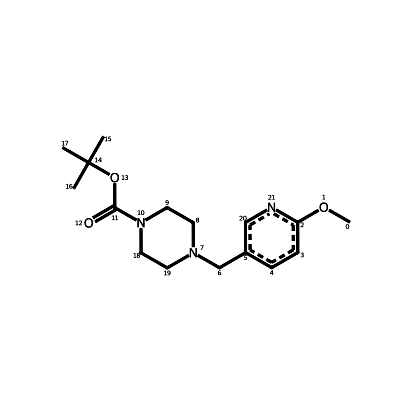 COc1ccc(CN2CCN(C(=O)OC(C)(C)C)CC2)cn1